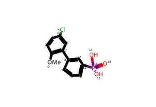 COc1ccc(Cl)cc1-c1cccc(P(=O)(O)O)c1